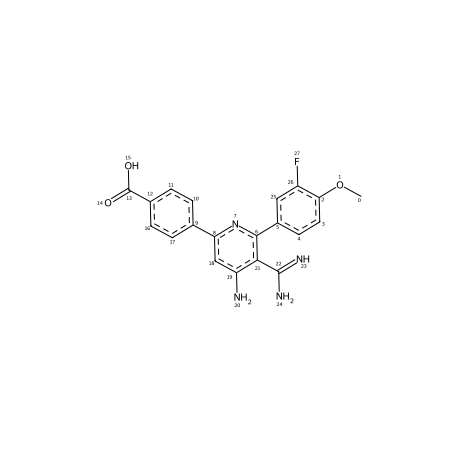 COc1ccc(-c2nc(-c3ccc(C(=O)O)cc3)cc(N)c2C(=N)N)cc1F